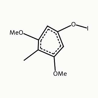 COc1cc(OI)cc(OC)c1C